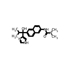 CC(C)C(O)(c1ccc2cc(NC(=O)N(C)C)ccc2c1)c1c[nH]cn1